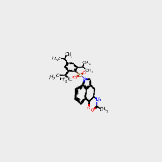 CC(=O)NC1Cc2cn(S(=O)(=O)c3c(C(C)C)cc(C(C)C)cc3C(C)C)c3cccc(c23)C1=O